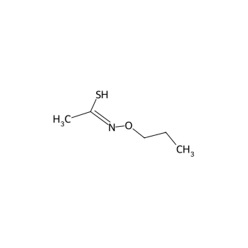 CCCO/N=C(/C)S